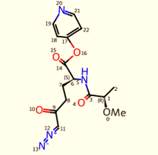 CO[C@H](C)C(=O)N[C@@H](CCC(=O)C=[N+]=[N-])C(=O)Oc1ccncc1